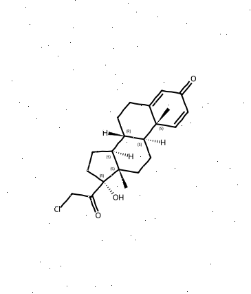 C[C@]12C=CC(=O)C=C1CC[C@@H]1[C@@H]2CC[C@@]2(C)[C@H]1CC[C@]2(O)C(=O)CCl